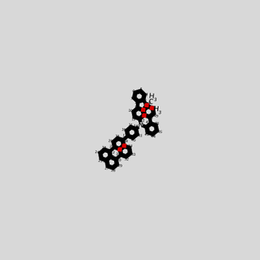 CC1(C)c2ccccc2-c2ccc(N(c3ccc(-c4ccc(-c5cccc6cccc(-c7ccccc7)c56)cc4)cc3)c3ccccc3-c3ccccc3)cc21